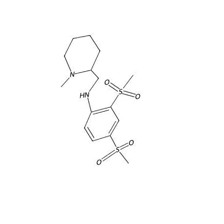 CN1CCCCC1CNc1ccc(S(C)(=O)=O)cc1S(C)(=O)=O